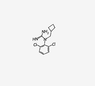 N=C(N)N(CC1CCC1)c1c(Cl)cccc1Cl